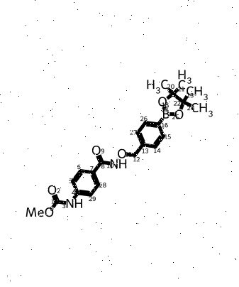 COC(=O)Nc1ccc(C(=O)NOCc2ccc(B3OC(C)(C)C(C)(C)O3)cc2)cc1